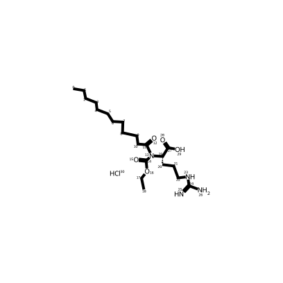 CCCCCCCCCCCC(=O)N(C(=O)OCC)[C@@H](CCCNC(=N)N)C(=O)O.Cl